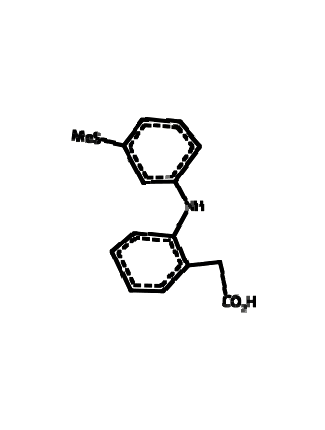 CSc1cccc(Nc2ccccc2CC(=O)O)c1